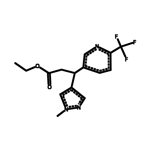 CCOC(=O)CC(c1ccc(C(F)(F)F)nc1)c1cnn(C)c1